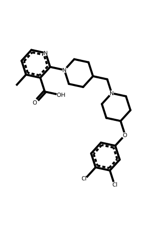 Cc1ccnc(N2CCC(CN3CCC(Oc4ccc(Cl)c(Cl)c4)CC3)CC2)c1C(=O)O